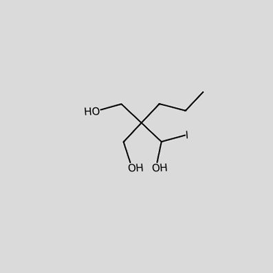 CCCC(CO)(CO)C(O)I